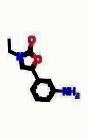 CCn1cc(-c2cccc(N)c2)oc1=O